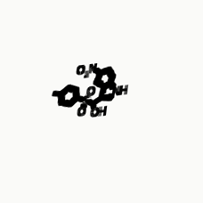 Cc1ccc(S(=O)(=O)C(O)c2c[nH]c3ccc([N+](=O)[O-])cc23)cc1